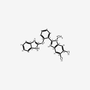 Cn1c(-c2ccccc2Sc2nc3ccccc3[nH]2)nc2cc(Cl)c(Cl)cc21